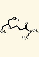 CCC(CC)NCCC(=O)N(C)C